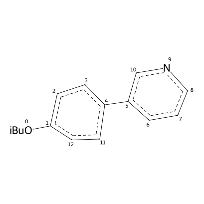 CC(C)COc1ccc(-c2cccnc2)cc1